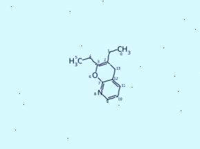 CCC1=C(CC)Oc2ncccc2C1